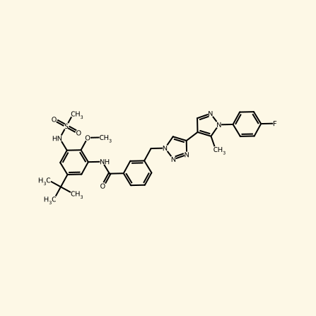 COc1c(NC(=O)c2cccc(Cn3cc(-c4cnn(-c5ccc(F)cc5)c4C)nn3)c2)cc(C(C)(C)C)cc1NS(C)(=O)=O